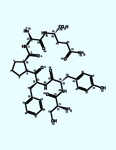 CC[C@H](C)[C@H](NC(=O)[C@@H]1CCCN1C(=O)[C@H](Cc1ccccc1)NC(=O)[C@H](Cc1ccc(O)cc1)NC(=O)[C@@H](N)CO)C(=O)N[C@@H](CCC(N)=O)C(=O)O